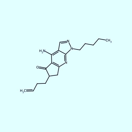 C=CCCC1Cc2nc3c(cnn3CCCCC)c(N)c2C1=O